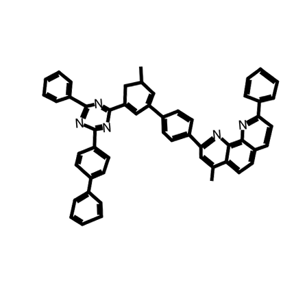 Cc1cc(-c2ccc(C3=CC(C)CC(c4nc(-c5ccccc5)nc(-c5ccc(-c6ccccc6)cc5)n4)=C3)cc2)nc2c1ccc1ccc(-c3ccccc3)nc12